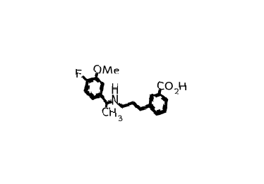 COc1cc(C(C)NCCCc2cccc(C(=O)O)c2)ccc1F